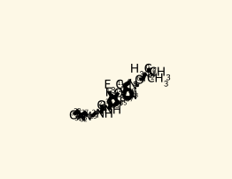 C[Si](C)(C)CCOCn1cc(C(F)(F)F)c2c(Oc3c(F)cc(NC(=O)NCCN4CC5(COC5)C4)cc3F)ccnc21